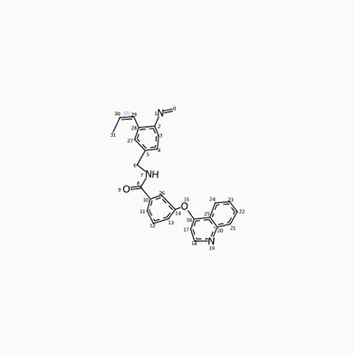 C=Nc1ccc(CNC(=O)c2cccc(Oc3ccnc4ccccc34)c2)cc1/C=C\C